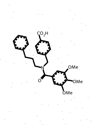 COc1cc(C(=O)N(CCCc2ccccc2)Cc2ccc(C(=O)O)cc2)cc(OC)c1OC